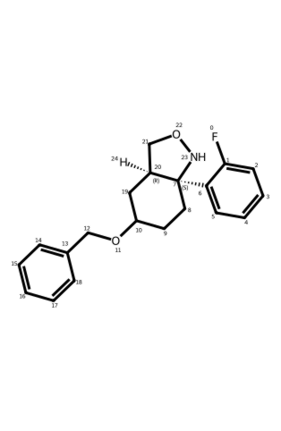 Fc1ccccc1[C@]12CCC(OCc3ccccc3)C[C@H]1CON2